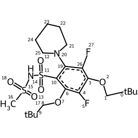 CC(C)(C)COc1c(F)c(OCC(C)(C)C)c(S(=O)(=O)NS(C)(=O)=O)c(N2CCCCC2)c1F